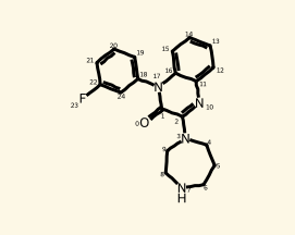 O=c1c(N2CCCNCC2)nc2ccccc2n1-c1cccc(F)c1